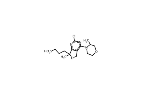 CC1COCCN1c1nc(Cl)nc2c1COC2(C)CCCS(=O)(=O)O